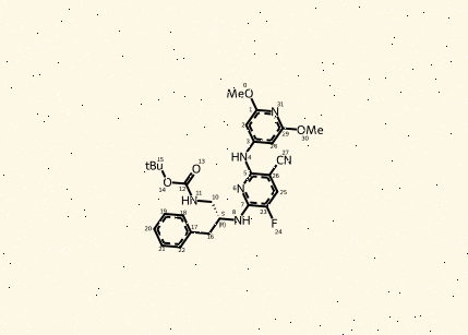 COc1cc(Nc2nc(N[C@@H](CNC(=O)OC(C)(C)C)Cc3ccccc3)c(F)cc2C#N)cc(OC)n1